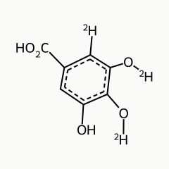 [2H]Oc1c(O)cc(C(=O)O)c([2H])c1O[2H]